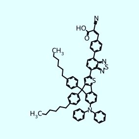 CCCCCCc1ccc(C2(c3ccc(CCCCCC)cc3)c3cc(N(c4ccccc4)c4ccccc4)ccc3-c3sc(-c4ccc(-c5ccc(/C=C(/C#N)C(=O)O)cc5)c5nsnc45)cc32)cc1